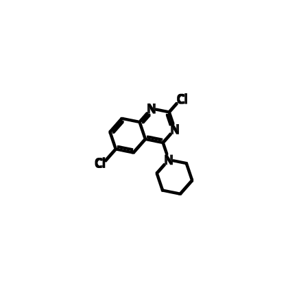 Clc1ccc2nc(Cl)nc(N3CCCCC3)c2c1